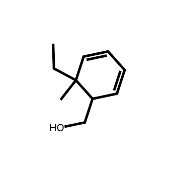 CCC1(C)C=CC=CC1CO